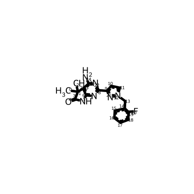 CC1(C)C(=O)Nc2nc(-c3ccn(Cc4ccccc4F)n3)nc(N)c21